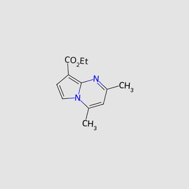 CCOC(=O)c1ccn2c(C)cc(C)nc12